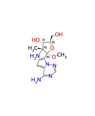 CO[C@@]1(c2ccc3c(N)ncnn23)O[C@H](CO)[C@@H](O)[C@@]1(C)N